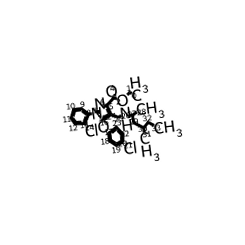 CCOC(=O)c1nn(-c2ccccc2Cl)c(Oc2ccc(Cl)cc2)c1CNC(C)CC(C)CC